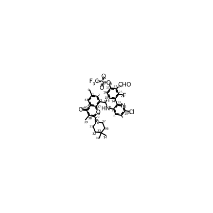 Cc1cc([C@@H](C)Nc2ccc(Cl)nc2-c2ccc(OS(=O)(=O)C(F)(F)F)c(C=O)c2F)c2oc(N3CCC(C)(C)CC3)c(C)c(=O)c2c1